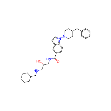 O=C(NCC(O)CNCC1CCCCC1)c1ccc2c(ccn2N2CCC(Cc3ccccc3)CC2)c1